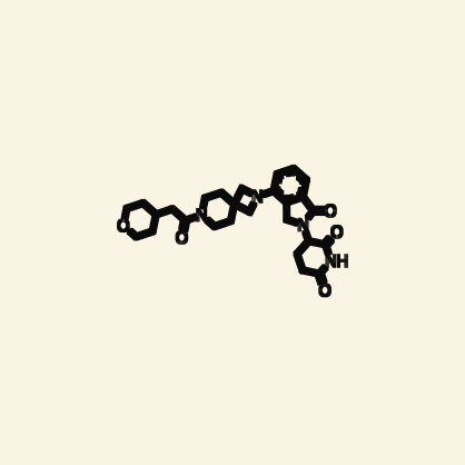 O=C1CCC(N2Cc3c(cccc3N3CC4(CCN(C(=O)CC5CCOCC5)CC4)C3)C2=O)C(=O)N1